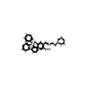 Oc1ccc(C[PH](c2ccccc2)(c2ccccc2)c2ccccc2)cc1/C=N/CCN1CCCCC1